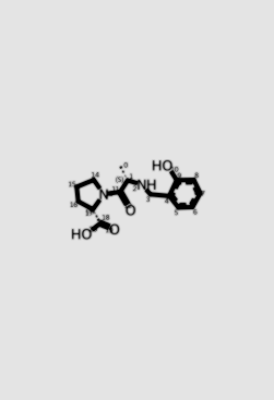 C[C@H](NCc1ccccc1O)C(=O)N1CCC[C@H]1C(=O)O